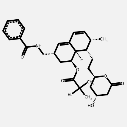 CCC(C)(C)C(=O)O[C@H]1C[C@H](CNC(=O)c2ccccc2)C=C2C=C[C@H](C)[C@H](CC[C@@H]3C[C@@H](O)CC(=O)O3)[C@H]21